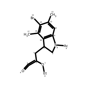 CCOC(=C=O)CC1CN(C(C)=O)c2cc(C)c(Br)c(C)c21